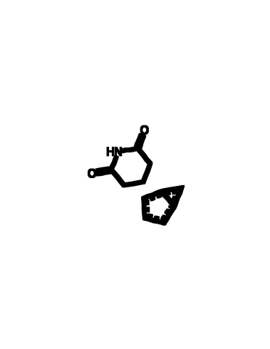 O=C1CCCC(=O)N1.c1cc2cc-2c1